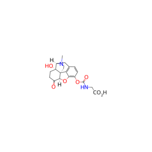 CN1CC[C@]23c4c5ccc(OC(=O)NCC(=O)O)c4O[C@H]2C(=O)CC[C@@]3(O)[C@H]1C5